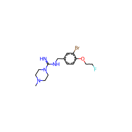 CN1CCN(C(=N)NCc2ccc(OCCF)c(Br)c2)CC1